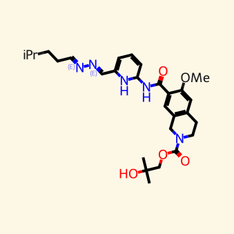 COc1cc2c(cc1C(=O)NC1C=CC=C(/C=N/N=C/CCC(C)C)N1)CN(C(=O)OCC(C)(C)O)CC2